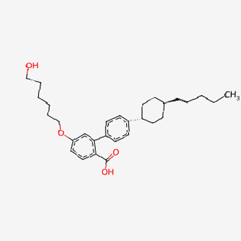 CCCCC[C@H]1CC[C@H](c2ccc(-c3cc(OCCCCCCO)ccc3C(=O)O)cc2)CC1